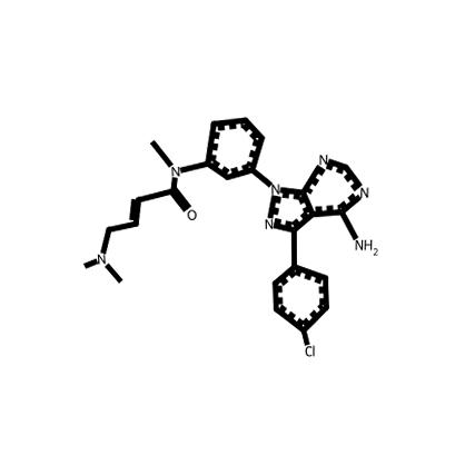 CN(C)CC=CC(=O)N(C)c1cccc(-n2nc(-c3ccc(Cl)cc3)c3c(N)ncnc32)c1